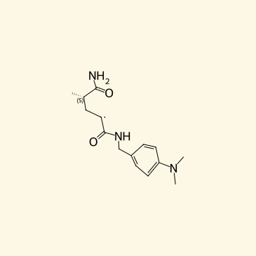 C[C@@H](C[CH]C(=O)NCc1ccc(N(C)C)cc1)C(N)=O